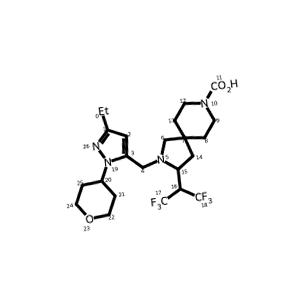 CCc1cc(CN2CC3(CCN(C(=O)O)CC3)CC2C(C(F)(F)F)C(F)(F)F)n(C2CCOCC2)n1